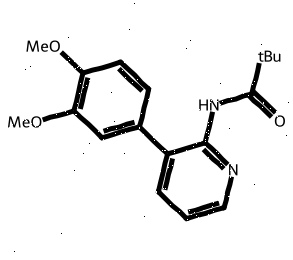 COc1ccc(-c2cccnc2NC(=O)C(C)(C)C)cc1OC